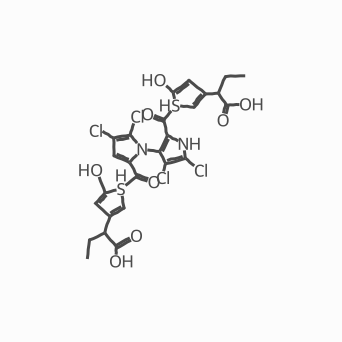 CCC(C(=O)O)C1=C[SH](C(=O)c2[nH]c(Cl)c(Cl)c2-n2c(C(=O)[SH]3C=C(C(CC)C(=O)O)C=C3O)cc(Cl)c2Cl)C(O)=C1